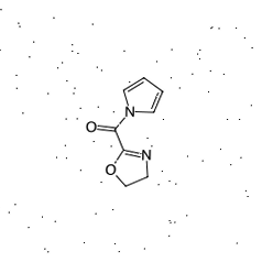 O=C(C1=NCCO1)n1cccc1